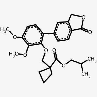 COc1ccc(-c2ccc3c(c2)COC3=O)c(OCC2(C(=O)OCC(C)C)CCC2)c1OC